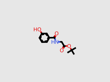 CC(C)(C)OC(=O)CNC(=O)c1cccc(O)c1